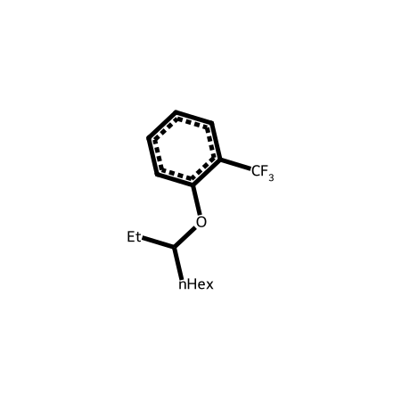 CCCCCCC(CC)Oc1ccccc1C(F)(F)F